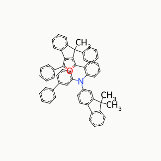 CC1(C)c2ccccc2-c2ccc(N(c3cccc(-c4ccccc4)c3)c3ccccc3-c3oc(-c4ccccc4)c4c3C(C)(c3ccccc3)c3ccccc3-4)cc21